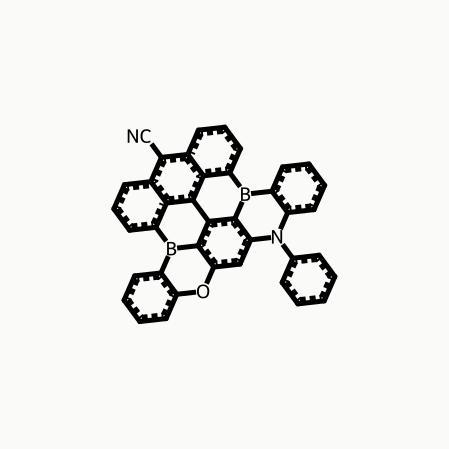 N#Cc1c2cccc3c2c2c4c(cccc14)B1c4ccccc4N(c4ccccc4)c4cc5c(c-2c41)B3c1ccccc1O5